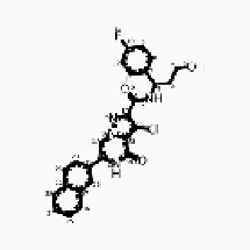 O=C(N[C@H](CCO)c1ccc(F)cc1)c1nn2cc(-c3ccc4ccccc4c3)[nH]c(=O)c2c1Cl